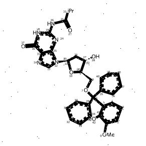 COc1cccc(C(OC[C@H]2O[C@@H](n3cnc4c(=O)[nH]c(NC(=O)C(C)C)nc43)C[C@@H]2O)(c2ccccc2)c2ccccc2)c1OC